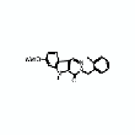 COc1ccc2c3cnn(Cc4ccccc4C)c(=O)c3n(C)c2c1